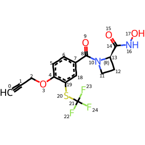 C#CCOc1ccc(C(=O)N2CC[C@@H]2C(=O)NO)cc1SC(F)(F)F